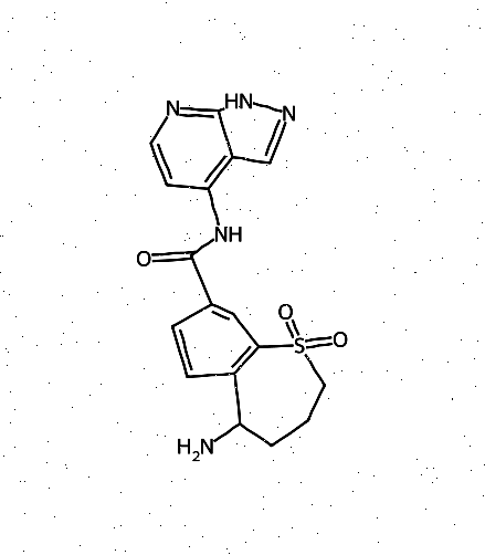 NC1CCCS(=O)(=O)c2cc(C(=O)Nc3ccnc4[nH]ncc34)ccc21